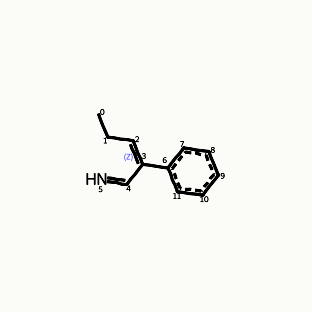 CC/C=C(\C=N)c1ccccc1